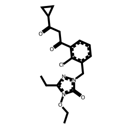 CCOn1c(CC)nn(Cc2cccc(C(=O)CC(=O)C3CC3)c2Cl)c1=O